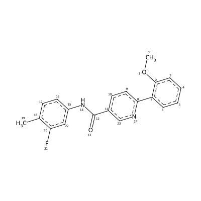 COc1ccccc1-c1ccc(C(=O)Nc2ccc(C)c(F)c2)cn1